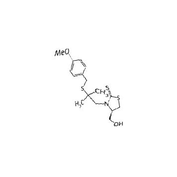 COc1ccc(CSC(C)(C)CN2C(=S)SC[C@H]2CO)cc1